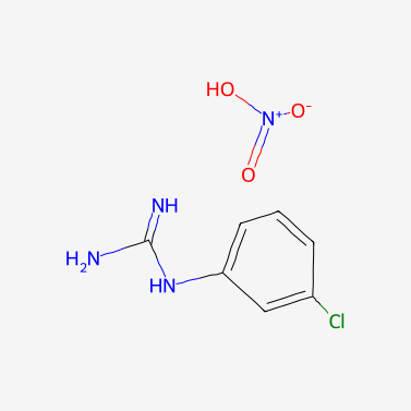 N=C(N)Nc1cccc(Cl)c1.O=[N+]([O-])O